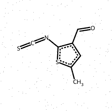 Cc1cc(C=O)c(N=C=S)s1